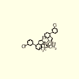 CCC1=Cc2c(-c3cccc(Cl)c3)cccc2[CH]1[Zr]([Cl])([Cl])([CH]1C(CC)=Cc2c(-c3cccc(Cl)c3)cccc21)=[Si](C)C